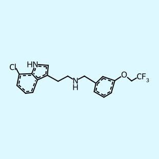 FC(F)(F)COc1cccc(CNCCc2c[nH]c3c(Cl)cccc23)c1